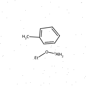 CC[O][3AlH2].Cc1ccccc1